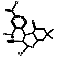 CC1(C)C=C2OC(N)C(C#N)C(c3ccc([N+](=O)[O-])cc3[N+](=O)[O-])C2C(=O)C1